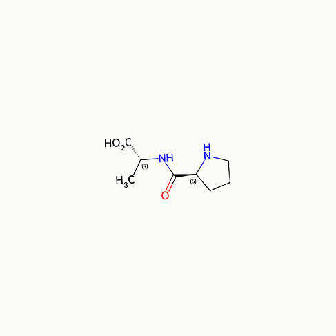 C[C@@H](NC(=O)[C@@H]1CCCN1)C(=O)O